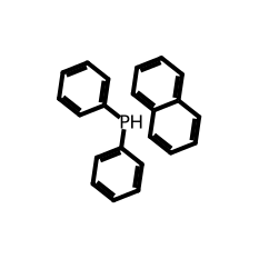 c1ccc(Pc2ccccc2)cc1.c1ccc2ccccc2c1